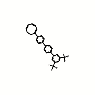 FC(F)(F)c1cc(-c2ccc(-c3ccc(/C4=C/C=C\C=C/CC4)cc3)cc2)cc(C(F)(F)F)c1